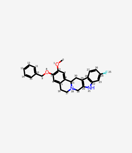 COc1cc2c(cc1OCc1ccccc1)CCN1Cc3[nH]c4cc(F)ccc4c3CC21